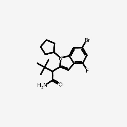 CC(C)(C)C(C(N)=O)c1cc2c(F)cc(Br)cc2n1C1CCCC1